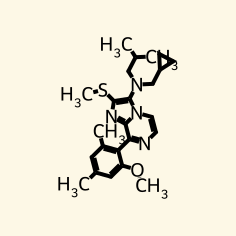 COc1cc(C)cc(C)c1-c1nccn2c(N(CC(C)C)CC3CC3)c(SC)nc12